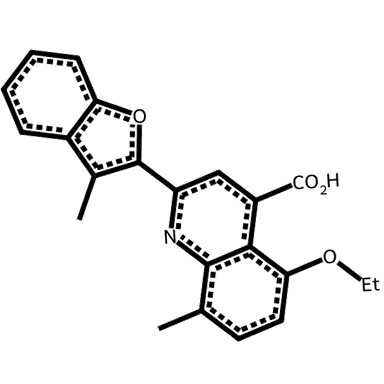 CCOc1ccc(C)c2nc(-c3oc4ccccc4c3C)cc(C(=O)O)c12